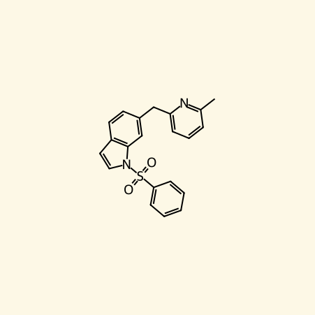 Cc1cccc(Cc2ccc3ccn(S(=O)(=O)c4ccccc4)c3c2)n1